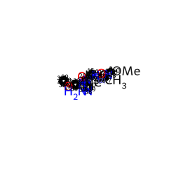 CO[C@@H]1CCN(C(C)(C)/C=C(/C#N)C(=O)N2CCC[C@@H](n3c(=O)n(-c4ccc(Oc5ccccc5)cc4)c4c(N)nccc43)C2)C1